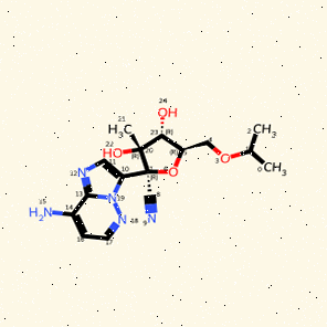 CC(C)OC[C@H]1O[C@@](C#N)(c2cnc3c(N)ccnn23)[C@](C)(O)[C@@H]1O